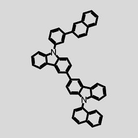 c1cc(-c2ccc3ccccc3c2)cc(-n2c3ccccc3c3cc(-c4ccc5c(c4)c4ccccc4n5-c4cccc5ccccc45)ccc32)c1